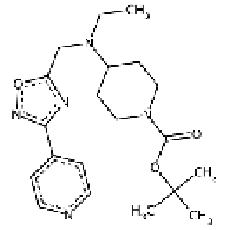 CCN(Cc1nc(-c2ccncc2)no1)C1CCN(C(=O)OC(C)(C)C)CC1